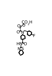 O=C(O)O[C@@H]1O[C@@H]1C(=O)N(Cc1ccc(F)cc1)c1ccc(C(=O)Nc2nc3ccccc3s2)cc1